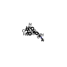 CN(C)C/C=C/C(=O)Nc1ccc(S(=O)(=O)N[C@H]2CCC[C@@H](Nc3ncc(Cl)c(-c4c[nH]c5ccccc45)n3)C2)cc1